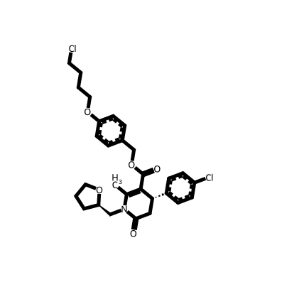 CC1=C(C(=O)OCc2ccc(OCCCCCl)cc2)[C@H](c2ccc(Cl)cc2)CC(=O)N1C[C@H]1CCCO1